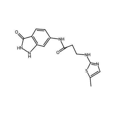 Cc1cnc(NCCC(=O)Nc2ccc3c(=O)[nH][nH]c3c2)s1